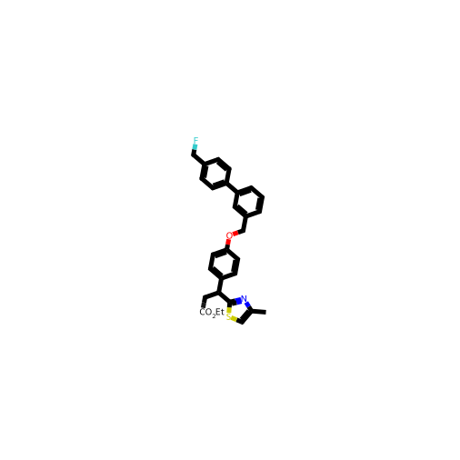 CCOC(=O)CC(c1ccc(OCc2cccc(-c3ccc(CF)cc3)c2)cc1)c1nc(C)cs1